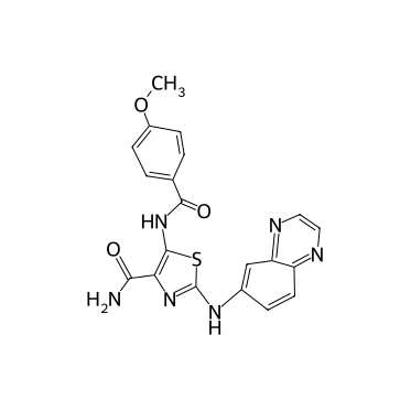 COc1ccc(C(=O)Nc2sc(Nc3ccc4nccnc4c3)nc2C(N)=O)cc1